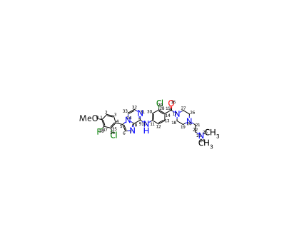 COc1ccc(-c2cnc3c(Nc4ccc(C(=O)N5CCN(CCN(C)C)CC5)c(Cl)c4)nccn23)c(Cl)c1F